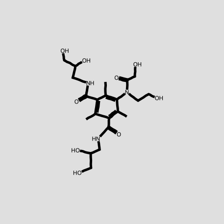 Cc1c(C(=O)NCC(O)CO)c(C)c(N(CCO)C(=O)CO)c(C)c1C(=O)NCC(O)CO